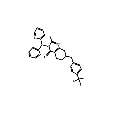 Cc1nc2c(c(=O)n1C(c1ccccn1)c1ccccn1)CCN(Cc1ccc(C(F)(F)F)cc1)C2